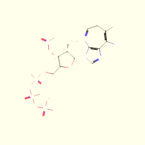 CCC1=C(N)c2ncn([C@@H]3OC(COP(=O)(O)OP(=O)(O)OP(=O)(O)O)[C@@H](O[PH](=O)O)[C@H]3OC)c2N=CC1